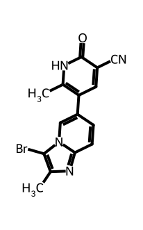 Cc1nc2ccc(-c3cc(C#N)c(=O)[nH]c3C)cn2c1Br